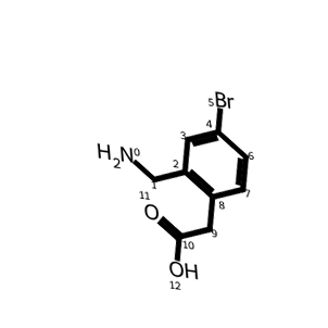 NCc1cc(Br)ccc1CC(=O)O